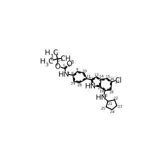 CC(C)(C)OC(=O)Nc1ccc(-c2cc3cc(Cl)cc(NC4CCCC4)c3[nH]2)cc1